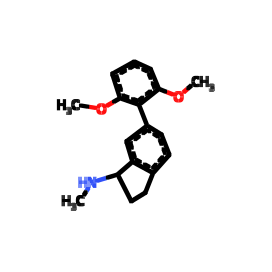 CNC1CCc2ccc(-c3c(OC)cccc3OC)cc21